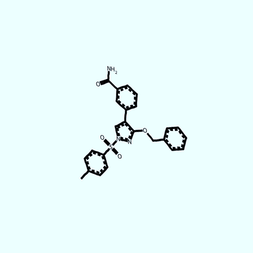 Cc1ccc(S(=O)(=O)n2cc(-c3cccc(C(N)=O)c3)c(OCc3ccccc3)n2)cc1